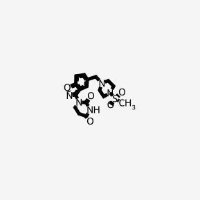 CS(=O)(=O)N1CCN(Cc2ccc3onc(N4CCC(=O)NC4=O)c3c2)CC1